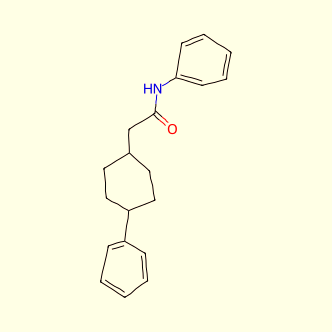 O=C(CC1CCC(c2ccccc2)CC1)Nc1ccccc1